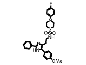 COc1ccc(-c2[nH]c(-c3ccccc3)nc2CCNS(=O)(=O)N2CCN(c3ccc(F)cc3)CC2)cc1